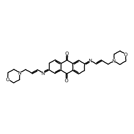 O=C1C2=CCC(=NC=CCN3CCOCC3)C=C2C(=O)C2=CCC(=NC=CCN3CCOCC3)C=C12